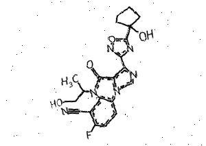 CC(CO)n1c(=O)c2c(-c3noc(C4(O)CCCC4)n3)ncn2c2ccc(F)c(C#N)c21